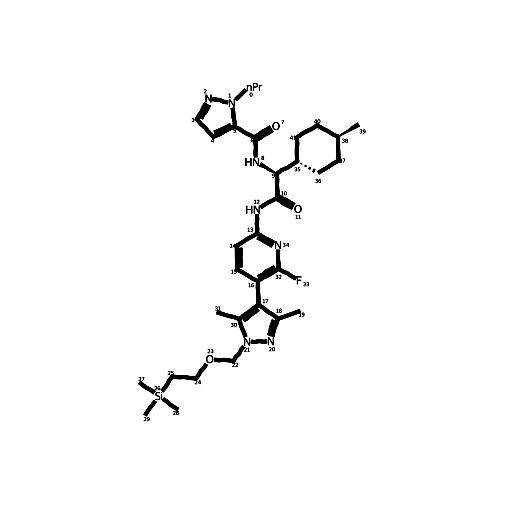 CCCn1nccc1C(=O)N[C@H](C(=O)Nc1ccc(-c2c(C)nn(COCC[Si](C)(C)C)c2C)c(F)n1)[C@H]1CC[C@H](C)CC1